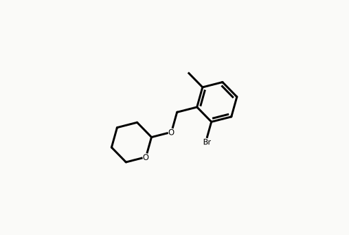 Cc1cccc(Br)c1COC1CCCCO1